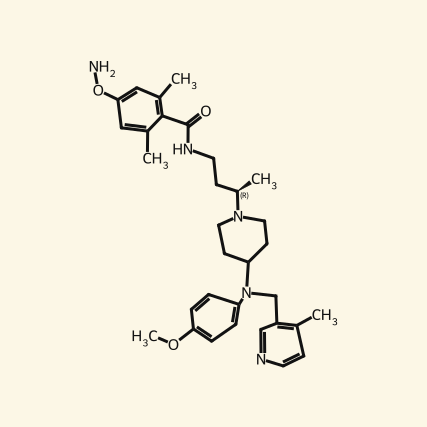 COc1ccc(N(Cc2cnccc2C)C2CCN([C@H](C)CCNC(=O)c3c(C)cc(ON)cc3C)CC2)cc1